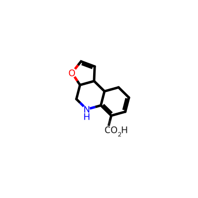 O=C(O)C1=C2NCC3OC=CC3C2CC=C1